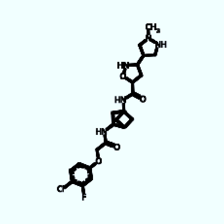 CN1CC(C2CC(C(=O)NC34CC(C3)C(NC(=O)COc3ccc(Cl)c(F)c3)C4)ON2)CN1